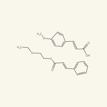 CCOCCOC(=O)C=Cc1ccccc1.COc1ccc(C=CC(=O)O)cc1